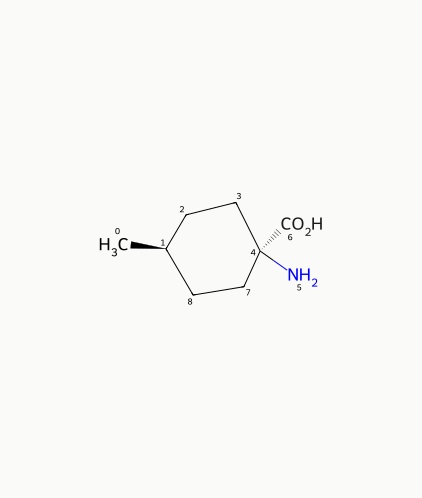 C[C@H]1CC[C@](N)(C(=O)O)CC1